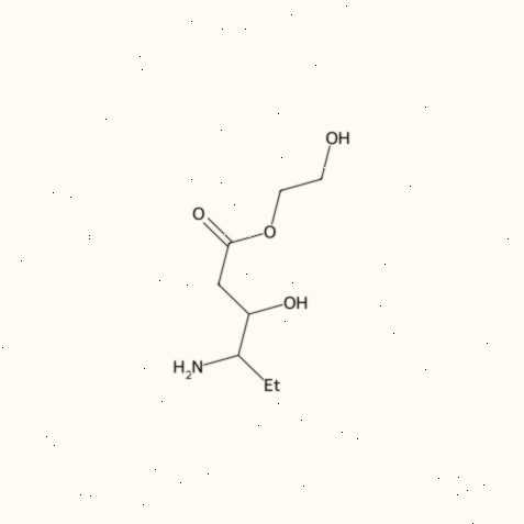 CCC(N)C(O)CC(=O)OCCO